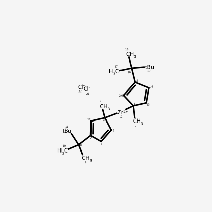 C[C]1([Zr+2][C]2(C)C=CC(C(C)(C)C(C)(C)C)=C2)C=CC(C(C)(C)C(C)(C)C)=C1.[Cl-].[Cl-]